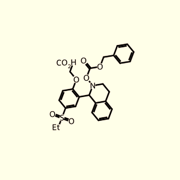 CCS(=O)(=O)c1ccc(OCC(=O)O)c(C2c3ccccc3CCN2OC(=O)OCc2ccccc2)c1